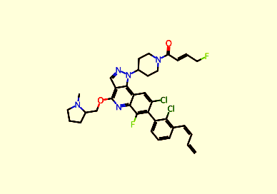 C=C/C=C\c1cccc(-c2c(Cl)cc3c(nc(OCC4CCCN4C)c4cnn(C5CCN(C(=O)/C=C/CF)CC5)c43)c2F)c1Cl